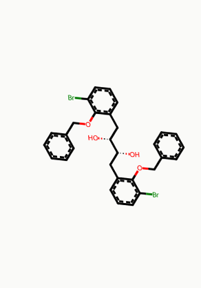 O[C@H](Cc1cccc(Br)c1OCc1ccccc1)[C@H](O)Cc1cccc(Br)c1OCc1ccccc1